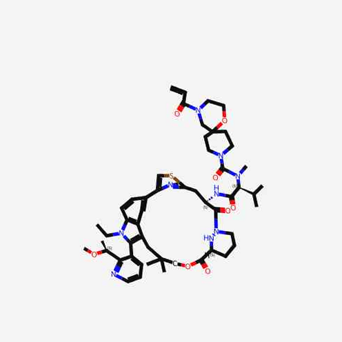 C=CC(=O)N1CCOC2(CCN(C(=O)N(C)[C@H](C(=O)N[C@H]3Cc4nc(cs4)-c4ccc5c(c4)c(c(-c4cccnc4[C@H](C)OC)n5CC)CC(C)(C)COC(=O)[C@@H]4CCCN(N4)C3=O)C(C)C)CC2)C1